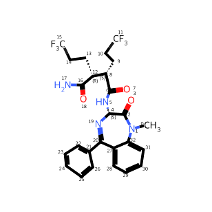 CN1C(=O)[C@@H](NC(=O)[C@@H](CCC(F)(F)F)[C@@H](CCC(F)(F)F)C(N)=O)N=C(c2ccccc2)c2ccccc21